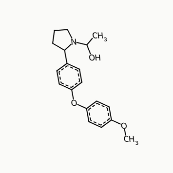 COc1ccc(Oc2ccc(C3CCCN3C(C)O)cc2)cc1